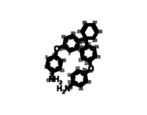 Nc1ccc(Oc2ccc(C3(c4ccc(Oc5ccc(N)cc5)cc4)C=CC=CC3)cc2)cc1